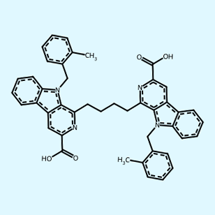 Cc1ccccc1Cn1c2ccccc2c2cc(C(=O)O)nc(CCCCc3nc(C(=O)O)cc4c5ccccc5n(Cc5ccccc5C)c34)c21